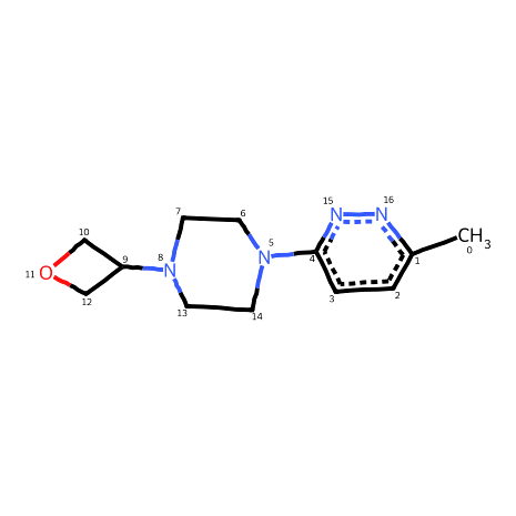 Cc1ccc(N2CCN(C3COC3)CC2)nn1